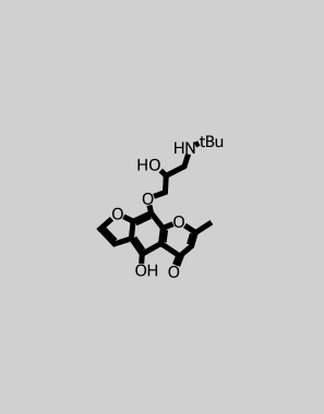 Cc1cc(=O)c2c(O)c3ccoc3c(OCC(O)CNC(C)(C)C)c2o1